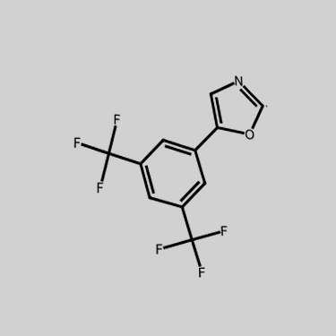 FC(F)(F)c1cc(-c2cn[c]o2)cc(C(F)(F)F)c1